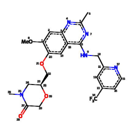 COc1cc2nc(C)nc(NCc3cc(C(F)(F)F)ccn3)c2cc1OC[C@@H]1CN(C)C(=O)CO1